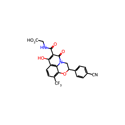 N#Cc1ccc(C2Cn3c(=O)c(C(=O)NCC(=O)O)c(O)c4ccc(C(F)(F)F)c(c43)O2)cc1